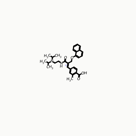 Cc1cc(/C=C(\COc2cccc3ccccc23)C(=O)NCCN(C(C)C)C(C)C)ccc1C(=O)O